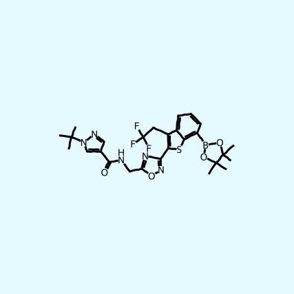 CC(C)(C)n1cc(C(=O)NCc2nc(-c3sc4c(B5OC(C)(C)C(C)(C)O5)cccc4c3CC(F)(F)F)no2)cn1